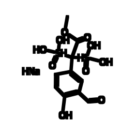 COC(=O)C(c1ccc(O)c(C=O)c1)([SH](=O)(O)O)[SH](=O)(O)O.[NaH]